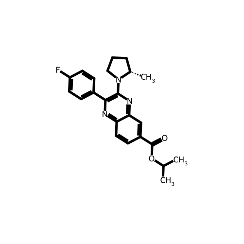 CC(C)OC(=O)c1ccc2nc(-c3ccc(F)cc3)c(N3CCC[C@@H]3C)nc2c1